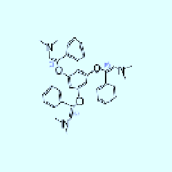 CN(C)/C=C(/Oc1cc(O/C(=C/N(C)C)c2ccccc2)cc(O/C(=C/N(C)C)c2ccccc2)c1)c1ccccc1